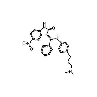 CN(C)CCCc1ccc(N/C(=C2\C(=O)Nc3ccc([N+](=O)[O-])cc32)c2ccccc2)cc1